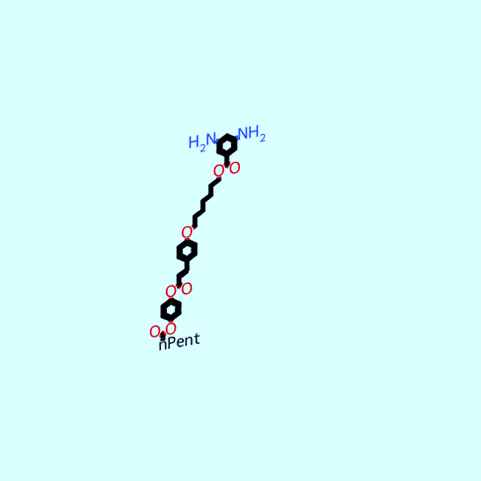 CCCCCC(=O)Oc1ccc(OC(=O)/C=C/c2ccc(OCCCCCCCOC(=O)c3cc(N)cc(N)c3)cc2)cc1